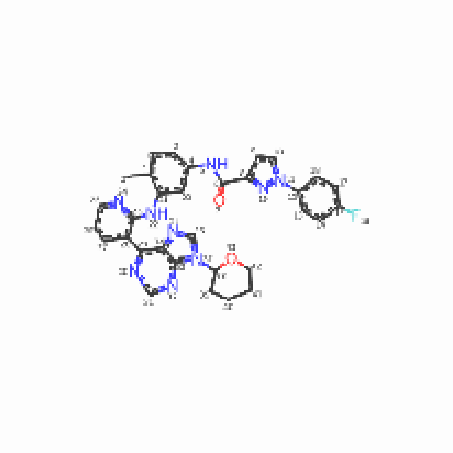 Cc1ccc(NC(=O)c2ccn(-c3ccc(F)cc3)n2)cc1Nc1ncccc1-c1ncnc2c1ncn2C1CCCCO1